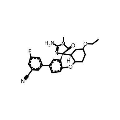 CCO[C@H]1CCC2Oc3ccc(-c4cc(F)cc(C#N)c4)cc3[C@]3(N=C(N)N(C)C3=O)[C@H]2C1